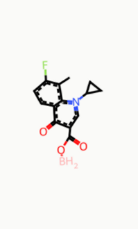 BOC(=O)c1cn(C2CC2)c2c(C)c(F)ccc2c1=O